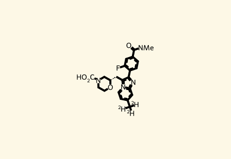 [2H]C([2H])([2H])c1ccn2c(C[C@H]3CN(C(=O)O)CCO3)c(-c3ccc(C(=O)NC)cc3F)nc2c1